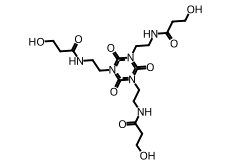 O=C(CCO)NCCn1c(=O)n(CCNC(=O)CCO)c(=O)n(CCNC(=O)CCO)c1=O